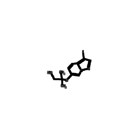 CC(C)(CO)Oc1ccc2c(I)cnn2c1